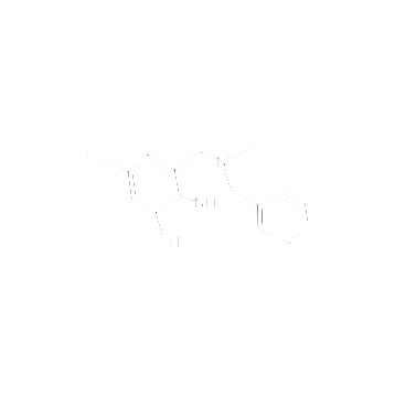 Cc1cc(Br)cc(CN(C)Cc2ccccc2)c1N